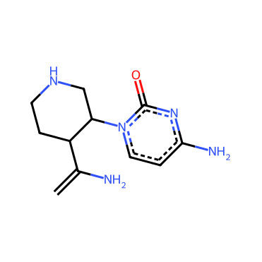 C=C(N)C1CCNCC1n1ccc(N)nc1=O